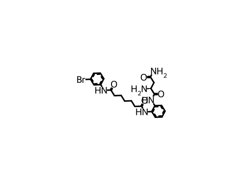 NC(=O)C[C@H](N)C(=O)Nc1ccccc1NC(=O)CCCCCC(=O)Nc1cccc(Br)c1